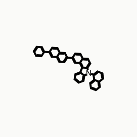 c1ccc(-c2ccc3cc(-c4ccc5ccc6c(c5c4)c4ccccc4n6-c4cccc5ccccc45)ccc3c2)cc1